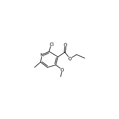 CCOC(=O)c1c(OC)cc(C)nc1Cl